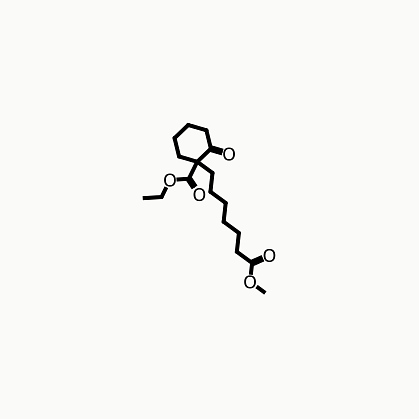 CCOC(=O)C1(CCCCCCC(=O)OC)CCCCC1=O